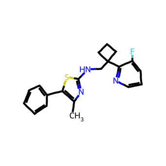 Cc1nc(NCC2(c3ncccc3F)CCC2)sc1-c1ccccc1